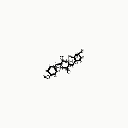 COc1ccc(C=c2[nH]c(=O)c(=Cc3ccc(F)cc3F)[nH]c2=O)cc1